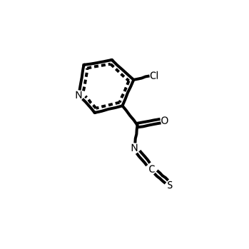 O=C(N=C=S)c1cnccc1Cl